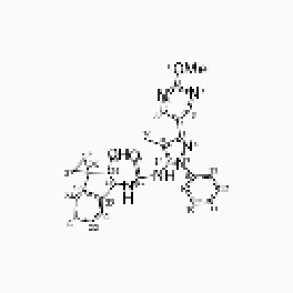 COc1ncc(-c2nn(-c3ccccc3)c(NC(=O)NC3c4ccccc4C4(CC4)[C@H]3O)c2C)cn1